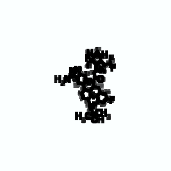 CC(C)(O)C#Cc1ccc(-c2ccc3nnc(N)n3c2)c(C(Cc2cc(F)cc(F)c2)NC(=O)Cn2nc(C(F)F)c3c2C(F)(F)[C@@H]2C[C@H]32)n1